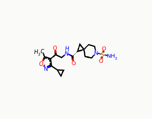 Cc1onc(C2CC2)c1C(=O)CNC(=O)[C@@H]1CC12CCN(S(N)(=O)=O)CC2